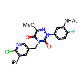 COc1nn(-c2ccc(F)c(NC(C)=O)c2)c(=O)n(Cc2cnc(Cl)c(C(C)C)c2)c1=O